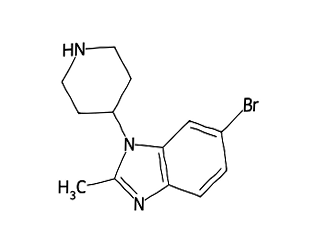 Cc1nc2ccc(Br)cc2n1C1CCNCC1